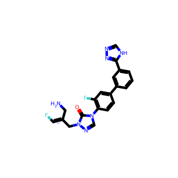 NC/C(=C\F)Cn1ncn(-c2ccc(-c3cccc(-c4nnc[nH]4)c3)cc2F)c1=O